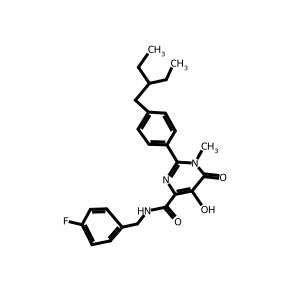 CCC(CC)Cc1ccc(-c2nc(C(=O)NCc3ccc(F)cc3)c(O)c(=O)n2C)cc1